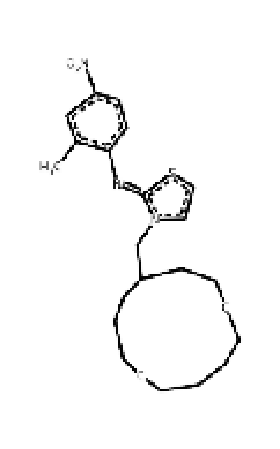 Cc1cc([N+](=O)[O-])ccc1N=c1sccn1CC1CCCCCCCCCCC1